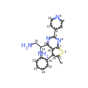 Cc1sc2nc(-c3ccncc3)nc(C(N)CN)c2c1-c1ccccc1